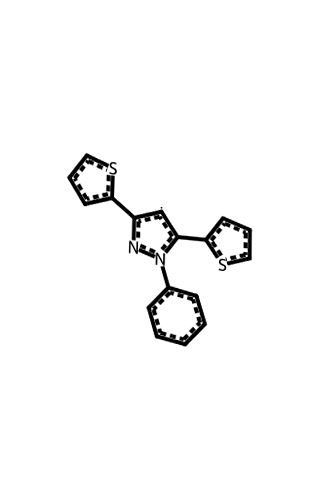 [c]1c(-c2cccs2)nn(-c2ccccc2)c1-c1cccs1